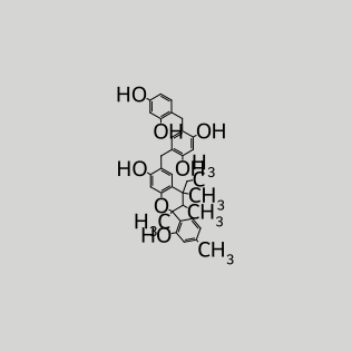 CCC1(C)c2cc(Cc3cc(Cc4ccc(O)cc4O)c(O)cc3O)c(O)cc2OC(C)(c2ccc(C)cc2O)C1C